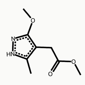 COC(=O)Cc1c(OC)n[nH]c1C